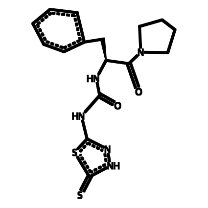 O=C(Nc1n[nH]c(=S)s1)N[C@@H](Cc1ccccc1)C(=O)N1CCCC1